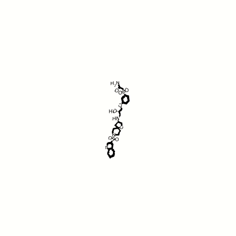 NC(=O)CS(=O)(=O)c1cccc(OC[C@@H](O)CN[C@H]2COC3(CCN(S(=O)(=O)c4cnc5ccccc5c4)CC3)C2)c1